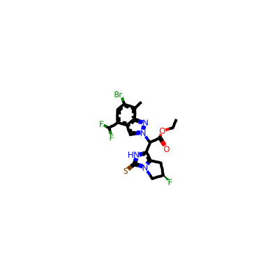 CCOC(=O)C(c1[nH]c(=S)n2c1C[C@@H](F)C2)n1cc2c(C(F)F)cc(Br)c(C)c2n1